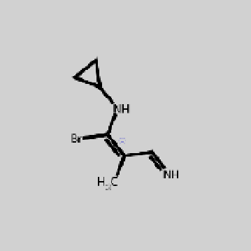 C/C(C=N)=C(\Br)NC1CC1